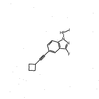 Fc1nn(PI)c2ccc(C#CC3CCC3)cc12